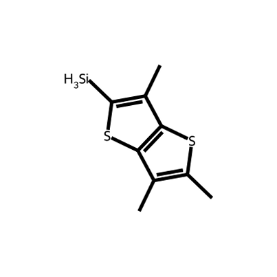 Cc1sc2c(C)c([SiH3])sc2c1C